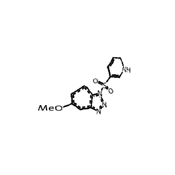 COc1ccc2c(c1)nnn2S(=O)(=O)C1=CNCC=C1